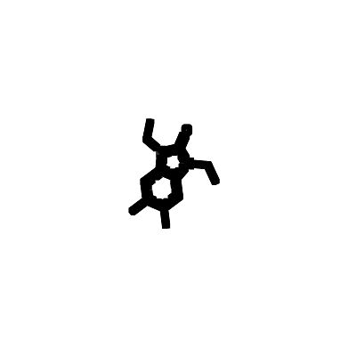 CCn1c(=O)n(CC)c2cc(C)c(C)cc21